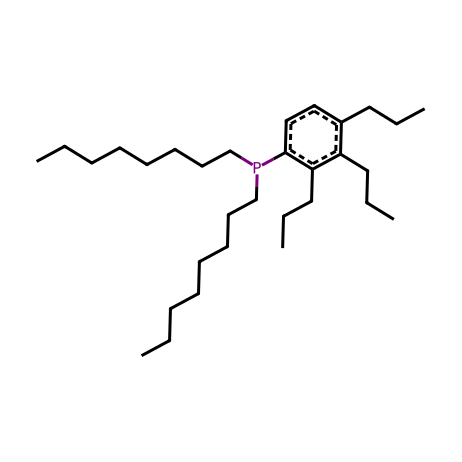 CCCCCCCCP(CCCCCCCC)c1ccc(CCC)c(CCC)c1CCC